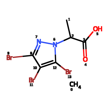 C.CC(C(=O)O)n1nc(Br)c(Br)c1Br